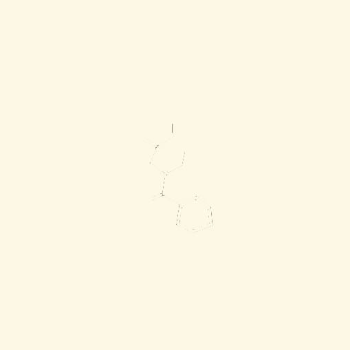 CC(C)(C)OC(=O)CN(CF)C(=O)c1ccccc1